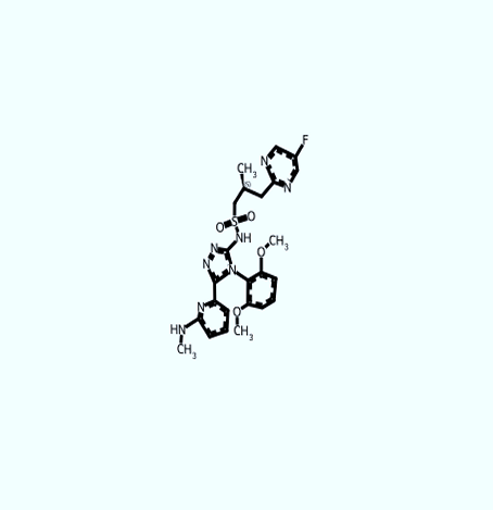 CNc1cccc(-c2nnc(NS(=O)(=O)C[C@@H](C)Cc3ncc(F)cn3)n2-c2c(OC)cccc2OC)n1